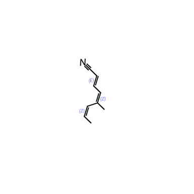 C\C=C/C(C)=C\C=C\C#N